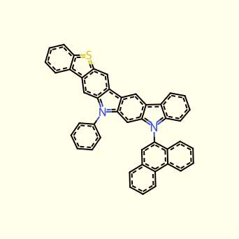 c1ccc(-n2c3cc4c(cc3c3cc5c6ccccc6n(-c6cc7ccccc7c7ccccc67)c5cc32)sc2ccccc24)cc1